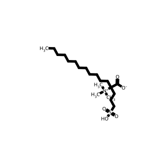 CCCCCCCCCCCCC(CCCS(=O)(=O)O)(C(=O)[O-])[N+](C)(C)C